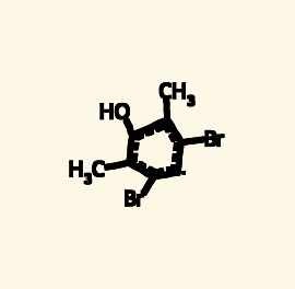 Cc1c(Br)[c]c(Br)c(C)c1O